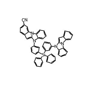 N#Cc1ccc2cc3n(-c4cccc([Si](c5ccccc5)(c5ccccc5)c5cccc(-n6c7ccccc7n7c8ccccc8cc67)c5)c4)c4ccccc4n3c2c1